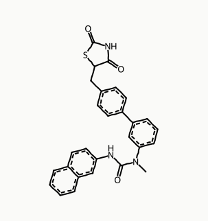 CN(C(=O)Nc1ccc2ccccc2c1)c1cccc(-c2ccc(CC3SC(=O)NC3=O)cc2)c1